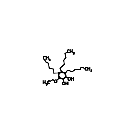 CCCCCCc1c(O)c(O)c(OCC)c(CCCCCC)c1CCCCCC